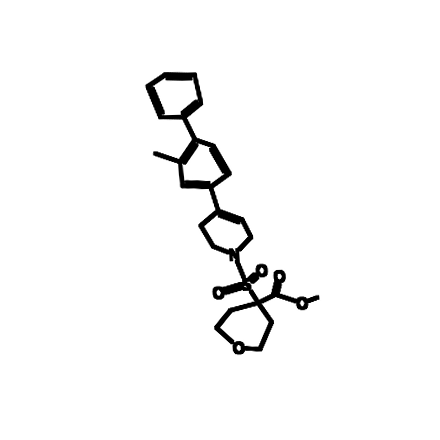 COC(=O)C1(S(=O)(=O)N2CC=C(c3ccc(-c4ccccc4)c(C)c3)CC2)CCOCC1